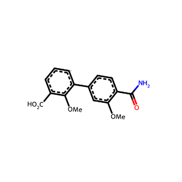 COc1cc(-c2[c]ccc(C(=O)O)c2OC)ccc1C(N)=O